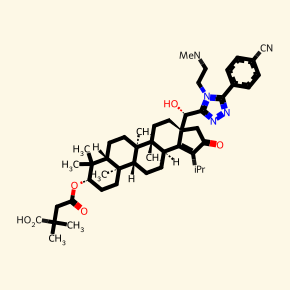 CNCCn1c(-c2ccc(C#N)cc2)nnc1[C@@H](O)[C@@]12CC[C@]3(C)[C@H](CC[C@@H]4[C@@]5(C)CC[C@H](OC(=O)CC(C)(C)C(=O)O)C(C)(C)[C@@H]5CC[C@]43C)C1=C(C(C)C)C(=O)C2